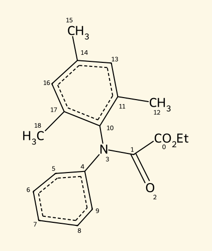 CCOC(=O)C(=O)N(c1ccccc1)c1c(C)cc(C)cc1C